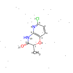 CC1Oc2ccc(Cl)nc2NC1=O